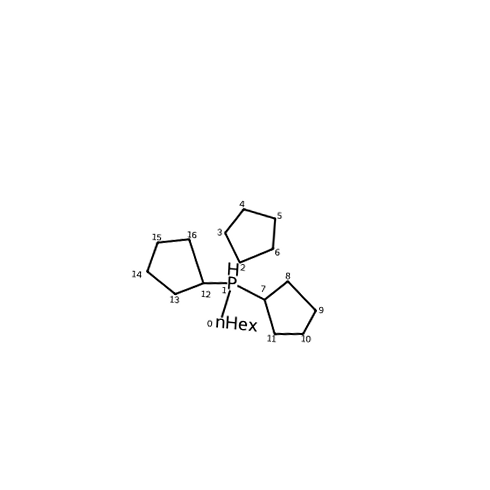 CCCCCC[PH](C1CCCC1)(C1CCCC1)C1CCCC1